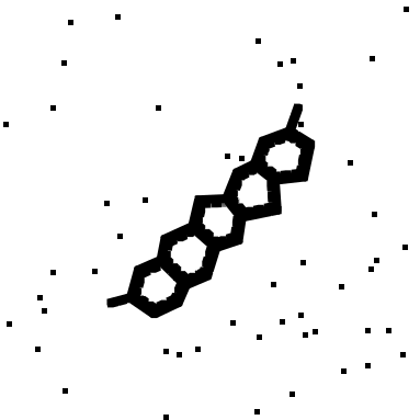 Cc1ccc2cc3cc4cc5ccc(C)cc5cc4cc3cc2c1